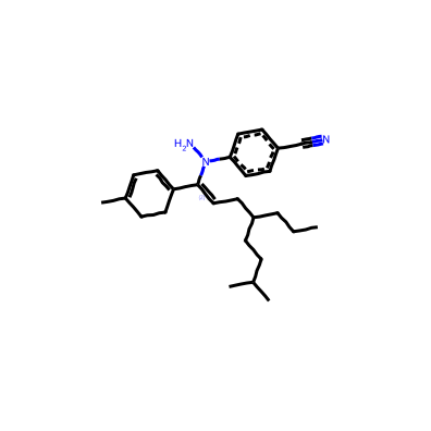 CCCC(C/C=C(/C1=CC=C(C)CC1)N(N)c1ccc(C#N)cc1)CCC(C)C